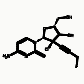 Nc1ccn([C@@H]2O[C@H](CO)C(O)[C@]2(Cl)C#CCF)c(=O)n1